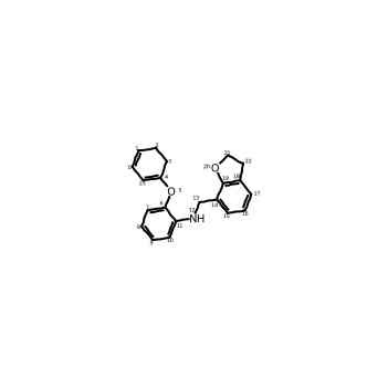 C1=CCCC(Oc2ccccc2NCc2cccc3c2OCC3)=C1